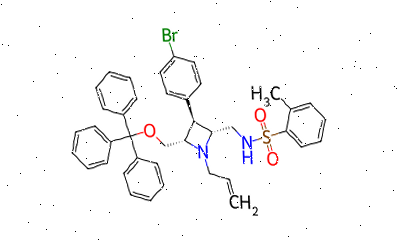 C=CCN1[C@H](COC(c2ccccc2)(c2ccccc2)c2ccccc2)[C@@H](c2ccc(Br)cc2)[C@@H]1CNS(=O)(=O)c1ccccc1C